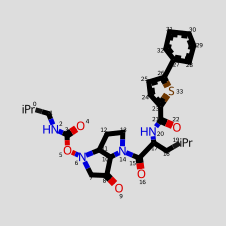 CC(C)CNC(=O)ON1CC(=O)C2C1CCN2C(=O)C(CC(C)C)NC(=O)c1ccc(-c2ccccc2)s1